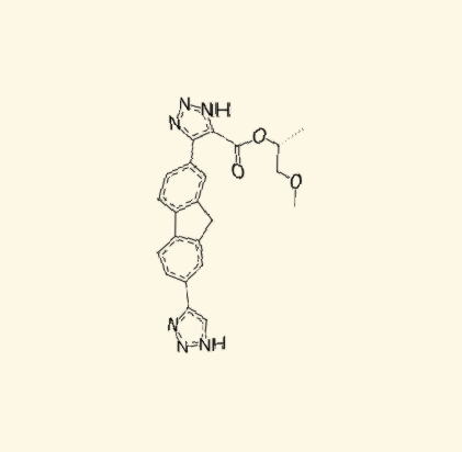 COC[C@@H](C)OC(=O)c1[nH]nnc1-c1ccc2c(c1)Cc1cc(-c3c[nH]nn3)ccc1-2